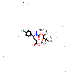 CC(OC(=O)NC(CCC(=O)[O-])c1ccc(Cl)cc1)C(=O)C(C)(C)C.[Na+]